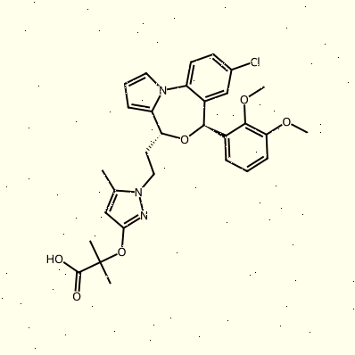 COc1cccc([C@H]2O[C@H](CCn3nc(OC(C)(C)C(=O)O)cc3C)c3cccn3-c3ccc(Cl)cc32)c1OC